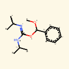 COC(OC(=NC(C)C)NC(C)C)c1ccccc1